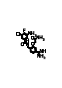 N=C(N)c1ccc(CNC(=O)c2cc(N)c(F)c(Cl)c2)c(OCC(N)=O)c1